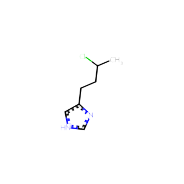 CC(Cl)CCc1c[nH]cn1